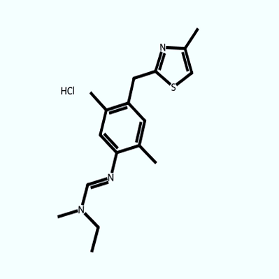 CCN(C)C=Nc1cc(C)c(Cc2nc(C)cs2)cc1C.Cl